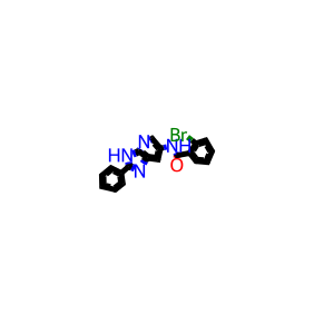 O=C(Nc1cnc2[nH]c(-c3ccccc3)nc2c1)c1ccccc1Br